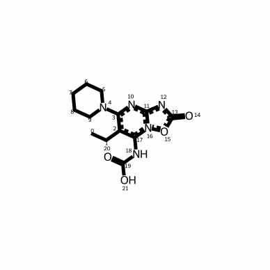 CCc1c(N2CCCCC2)nc2nc(=O)on2c1NC(=O)O